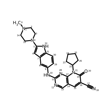 CN1CCN(c2cc3cc(Nc4ncc5cc(C#N)c(=O)n(C6CCCC6)c5n4)ccc3[nH]2)CC1